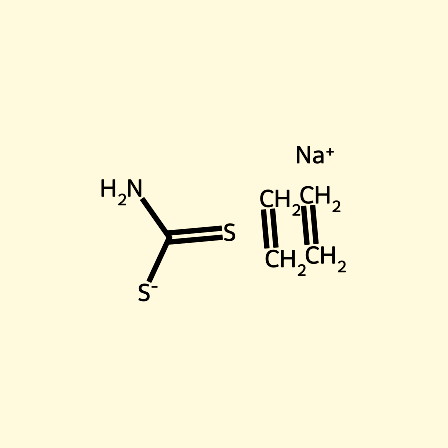 C=C.C=C.NC(=S)[S-].[Na+]